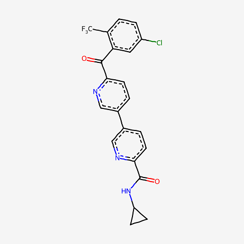 O=C(NC1CC1)c1ccc(-c2ccc(C(=O)c3cc(Cl)ccc3C(F)(F)F)nc2)cn1